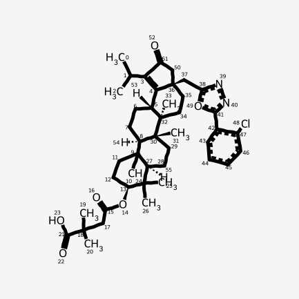 CC(C)C1=C2[C@H]3CC[C@@H]4C5(C)CC[C@H](OC(=O)CC(C)(C)C(=O)O)C(C)(C)[C@@H]5CC[C@@]4(C)[C@]3(C)CC[C@@]2(Cc2nnc(-c3ccccc3Cl)o2)CC1=O